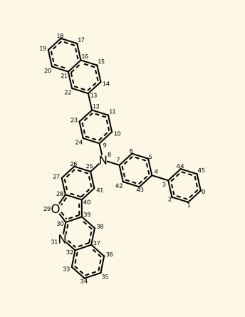 c1ccc(-c2ccc(N(c3ccc(-c4ccc5ccccc5c4)cc3)c3ccc4oc5nc6ccccc6cc5c4c3)cc2)cc1